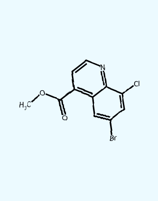 COC(=O)c1ccnc2c(Cl)cc(Br)cc12